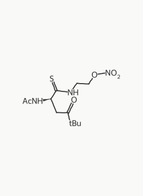 CC(=O)N[C@H](CC(=O)C(C)(C)C)C(=S)NCCO[N+](=O)[O-]